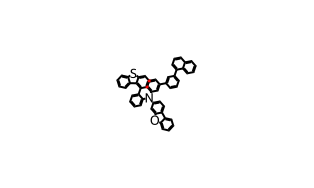 c1cc(-c2cccc(N(c3ccc4c(c3)oc3ccccc34)c3ccccc3-c3cccc4sc5ccccc5c34)c2)cc(-c2cccc3ccccc23)c1